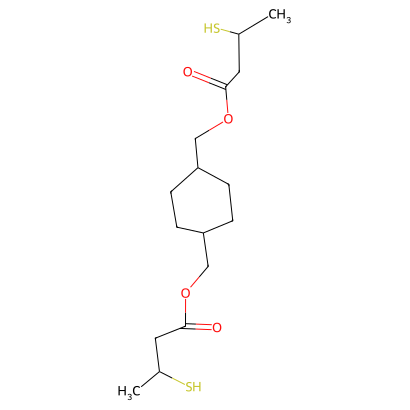 CC(S)CC(=O)OCC1CCC(COC(=O)CC(C)S)CC1